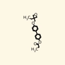 C=CC(=O)Oc1ccc(-c2ccc(OCC3(CC)COC3)cc2)cc1